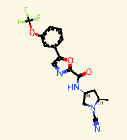 C[C@@H]1C[C@@H](NC(=O)c2ncc(-c3cccc(OC(F)(F)F)c3)o2)CN1C#N